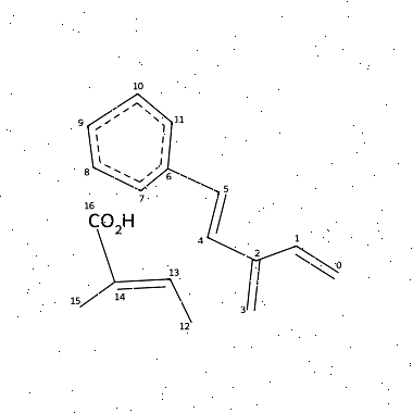 C=CC(=C)C=Cc1ccccc1.CC=C(C)C(=O)O